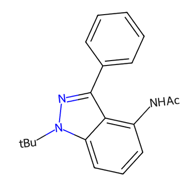 CC(=O)Nc1cccc2c1c(-c1ccccc1)nn2C(C)(C)C